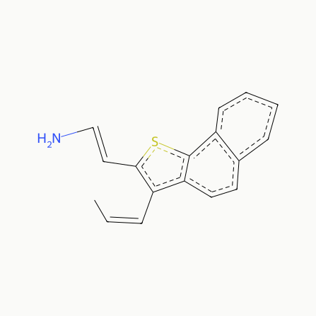 C/C=C\c1c(/C=C/N)sc2c1ccc1ccccc12